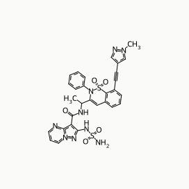 CC(NC(=O)c1c(NS(N)(=O)=O)nn2cccnc12)C1=Cc2cccc(C#Cc3cnn(C)c3)c2S(=O)(=O)N1c1ccccc1